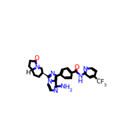 Nc1nccn2c([C@H]3CC[C@@H]4CCC(=O)N4C3)nc(-c3ccc(C(=O)Nc4cc(C(F)(F)F)ccn4)cc3)c12